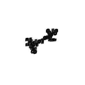 CNC(C)C(=O)NC(Cc1ccc(NCc2ccc(C(=O)N[C@H]3C[C@@H](C(=O)N[C@@H]4CCCc5ccccc54)N(C(=O)C(NC(=O)C(C)NC)C(C)(C)C)C3)cc2)cc1)C(=O)N1Cc2ccccc2CC1C(=O)N[C@@H]1CCCc2ccccc21